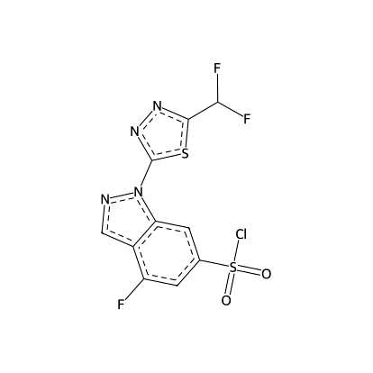 O=S(=O)(Cl)c1cc(F)c2cnn(-c3nnc(C(F)F)s3)c2c1